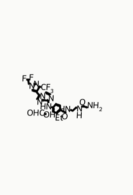 CCc1cc(Nc2nccn3c(-c4cn(CC(F)F)nc4C(F)(F)F)cnc23)ccc1C(=O)NCCNC(=O)CN.O=CO